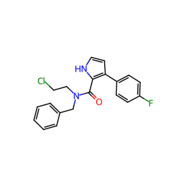 O=C(c1[nH]ccc1-c1ccc(F)cc1)N(CCCl)Cc1ccccc1